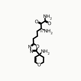 NC(=O)C(=O)[C@@H](N)CCCc1nnc(C2(N)C=COCC2)o1